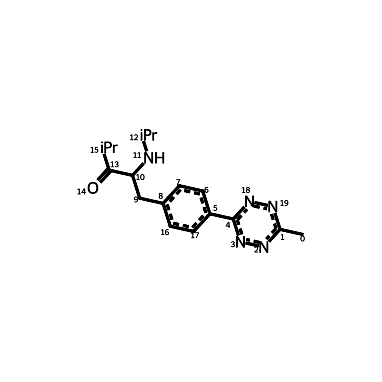 Cc1nnc(-c2ccc(CC(NC(C)C)C(=O)C(C)C)cc2)nn1